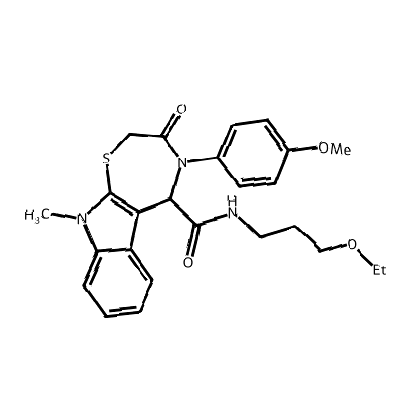 CCOCCCNC(=O)C1c2c(n(C)c3ccccc23)SCC(=O)N1c1ccc(OC)cc1